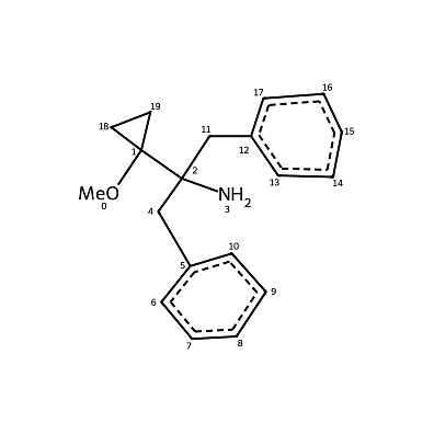 COC1(C(N)(Cc2ccccc2)Cc2ccccc2)CC1